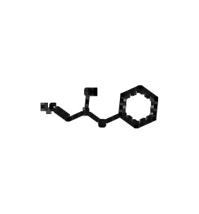 C=CB(O)Oc1ccccc1